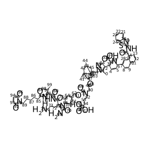 Cc1c(-c2ccc(-c3ccc4cccc(C(=O)Nc5nc6ccccc6s5)c4c3)nc2C(=O)O)cnn1CC12CC3(C)CC(C)(C1)CC(OCCN(CCCP(=O)(O)O)C(=O)OCc1ccc(N(C(N)=O)[C@@H](CCCN)C(=O)NC(=O)[C@@H](NC(=O)CCCCCN4C(=O)C=CC4=O)C(C)C)cc1)(C3)C2